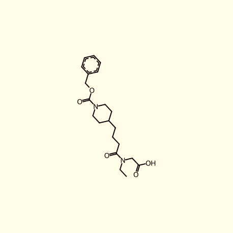 CCN(CC(=O)O)C(=O)CCCC1CCN(C(=O)OCc2ccccc2)CC1